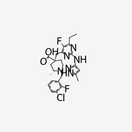 CCc1nc(Nc2cc(C)[nH]n2)nc(C[C@@]2(C(=O)O)CCN(Cc3cccc(Cl)c3F)[C@H](C)C2)c1F